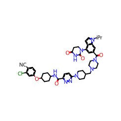 CC(C)n1ccc2c(N3CCC(=O)NC3=O)cc(C(=O)N3CCN(CC4CCN(c5ccc(C(=O)NC6CCC(Oc7ccc(C#N)c(Cl)c7)CC6)nn5)CC4)CC3)cc21